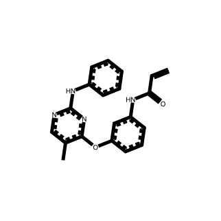 C=CC(=O)Nc1cccc(Oc2nc(Nc3ccccc3)ncc2C)c1